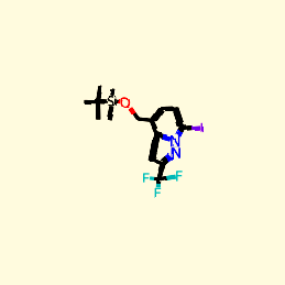 CC(C)(C)[Si](C)(C)OCc1ccc(I)n2nc(C(F)(F)F)cc12